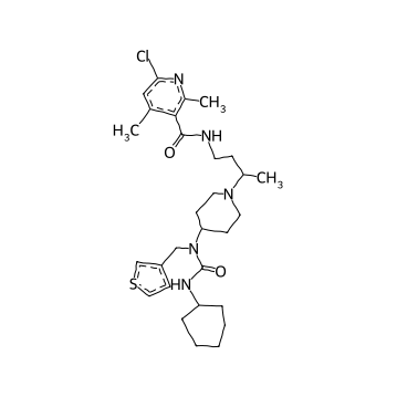 Cc1cc(Cl)nc(C)c1C(=O)NCCC(C)N1CCC(N(Cc2ccsc2)C(=O)NC2CCCCC2)CC1